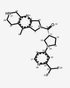 Cc1c2c(nc3c1CN(C(=O)[C@@H]1CCN(c4ccnc(C(F)F)c4)C1)C3)CNCC2